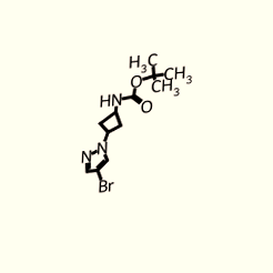 CC(C)(C)OC(=O)NC1CC(n2cc(Br)cn2)C1